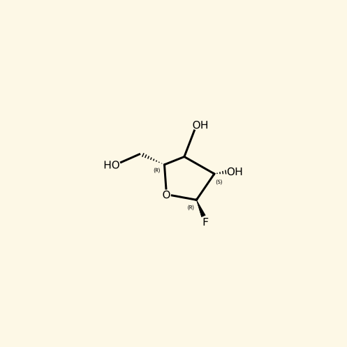 OC[C@H]1O[C@H](F)[C@@H](O)C1O